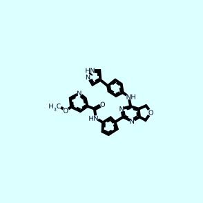 COc1cncc(C(=O)Nc2cccc(-c3nc4c(c(Nc5ccc(-c6cn[nH]c6)cc5)n3)COC4)c2)c1